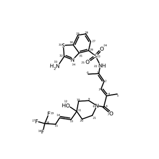 C/C(=C\C=C(/C)C(=O)N1CCC(O)(/C=C/CC(F)(F)F)CC1)NS(=O)(=O)c1cccc2sc(N)nc12